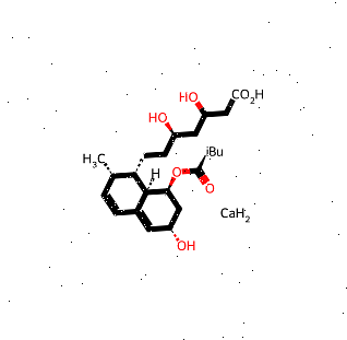 CC[C@H](C)C(=O)O[C@H]1C[C@H](O)C=C2C=C[C@H](C)[C@H](CC[C@@H](O)CC(O)CC(=O)O)[C@H]21.[CaH2]